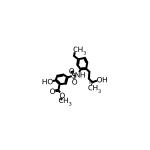 CCc1ccc(CC[C@@H](C)O)c(NS(=O)(=O)c2ccc(O)c(C(=O)OC)c2)c1